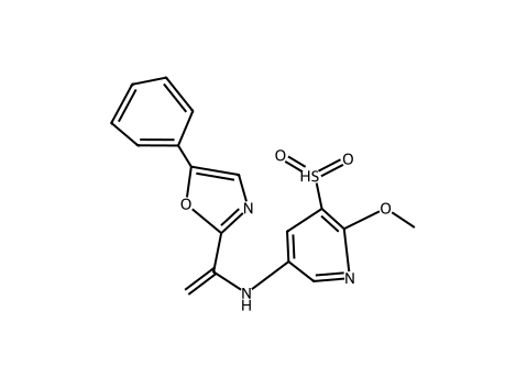 C=C(Nc1cnc(OC)c([SH](=O)=O)c1)c1ncc(-c2ccccc2)o1